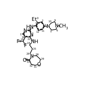 CCc1cc(N2CCN(C)CC2)ccc1Nc1ncc(C(F)F)c(NCCCN2CCOCCC2=O)n1